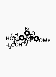 CC=NN(C(=O)c1cc(Br)ccc1NC(=O)c1cccc(CN(CC(C)O)CC(C)O)c1)c1ccc(OC)cc1